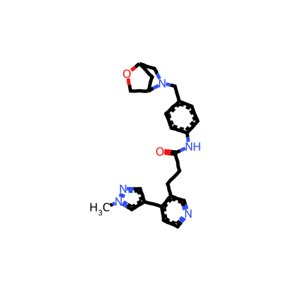 Cn1cc(-c2ccncc2CCC(=O)Nc2ccc(CN3CC4CC3CO4)cc2)cn1